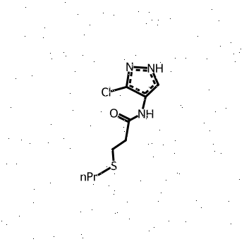 CCCSCCC(=O)Nc1c[nH]nc1Cl